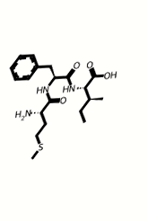 CC[C@H](C)[C@H](NC(=O)[C@H](Cc1ccccc1)NC(=O)[C@@H](N)CCSC)C(=O)O